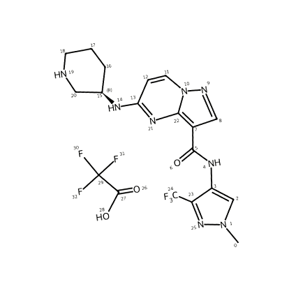 Cn1cc(NC(=O)c2cnn3ccc(N[C@@H]4CCCNC4)nc23)c(C(F)(F)F)n1.O=C(O)C(F)(F)F